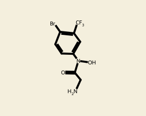 NCC(=O)N(O)c1ccc(Br)c(C(F)(F)F)c1